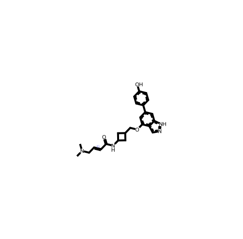 CN(C)C/C=C/C(=O)NC1CC(COc2cc(-c3ccc(O)cc3)cc3[nH]ncc23)C1